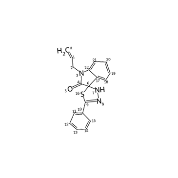 C=CCN1C(=O)C2(NN=C(c3ccccc3)S2)c2ccccc21